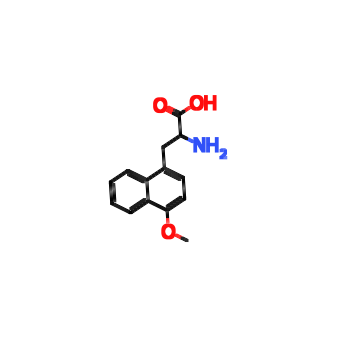 COc1ccc(CC(N)C(=O)O)c2ccccc12